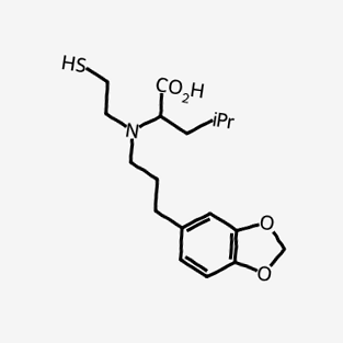 CC(C)CC(C(=O)O)N(CCS)CCCc1ccc2c(c1)OCO2